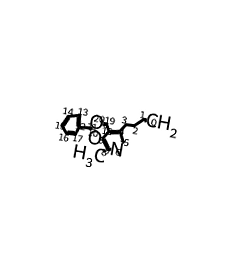 C=CCCc1cnc(C)c(OCc2ccccc2)c1C=O